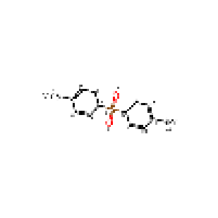 CSC1=CCC(S(=O)(=O)C2C=CC(C(C)C)=CC2)C=C1